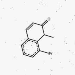 CC(C)c1cccc2c1C(C)C(=O)C=C2